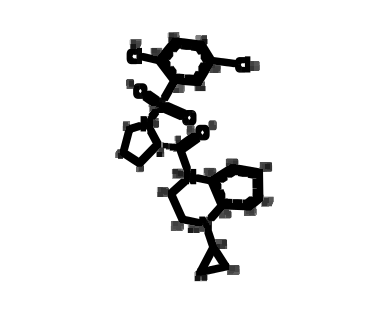 O=C([C@@H]1CCCN1S(=O)(=O)c1cc(Cl)ccc1Cl)N1CCN(C2CC2)c2ccccc21